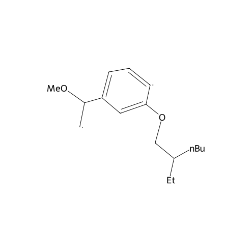 [CH2]C(OC)c1cc[c]c(OCC(CC)CCCC)c1